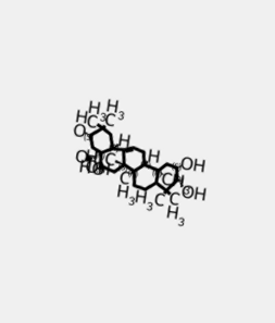 CC1(C)C[C@@H]2C3=CC[C@@H]4[C@@]5(C)C[C@H](O)[C@H](O)C(C)(C)C5CC[C@@]4(C)[C@]3(C)C[C@H](O)[C@@]2(C(=O)O)C[C@@H]1O